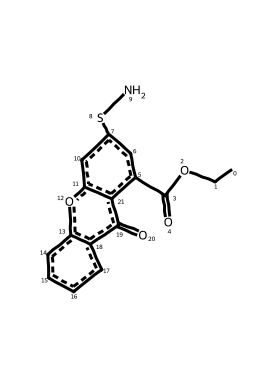 CCOC(=O)c1cc(SN)cc2oc3ccccc3c(=O)c12